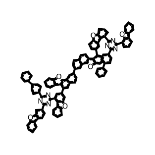 c1ccc(-c2ccc(-c3nc(-c4ccc5c(c4)oc4ccccc45)nc(-c4cc(-c5cc6ccc(-c7ccc8ccc9c(oc%10cccc(-c%11ccc%12oc%13cccc(-c%14nc(-c%15ccc(-c%16ccccc%16)cc%15)nc(-c%15cccc%16c%15oc%15ccccc%15%16)n%14)c%13c%12c%11)c%109)c8c7)cc6c6oc7ccccc7c56)cc5oc6ccccc6c45)n3)cc2)cc1